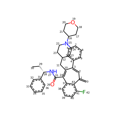 C=C1C=C(c2ccccc2)C(CC2CCN(C3CCOCC3)CC2)=C(C(=O)N[C@@H](CC)c2ccccc2)c2cccc(F)c21